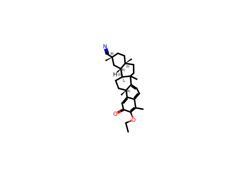 CCOC1=C(C)C2=CC=C3C4(C)CC[C@@]5(C)CC[C@@](C)(C#N)C[C@H]5[C@]4(C)CC[C@@]3(C)C2=CC1=O